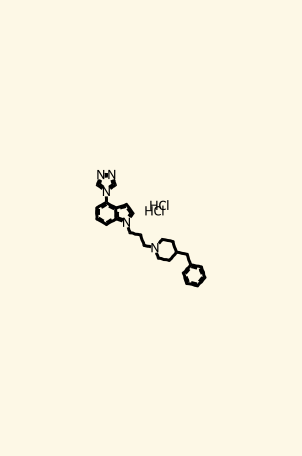 Cl.Cl.c1ccc(CC2CCN(CCCn3ccc4c(-n5cnnc5)cccc43)CC2)cc1